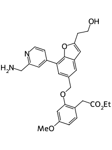 CCOC(=O)Cc1ccc(OC)cc1OCc1cc(-c2ccnc(CN)c2)c2oc(CCO)cc2c1